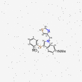 CNc1ccc2c(Sc3ccccc3[N+](=O)[O-])cn(Cc3cscn3)c2c1